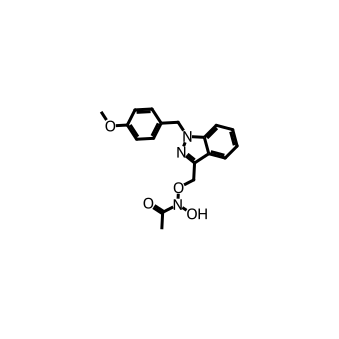 COc1ccc(Cn2nc(CON(O)C(C)=O)c3ccccc32)cc1